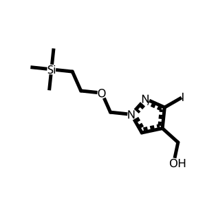 C[Si](C)(C)CCOCn1cc(CO)c(I)n1